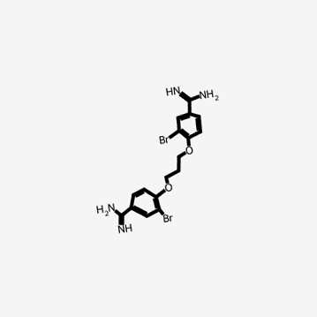 N=C(N)c1ccc(OCCCOc2ccc(C(=N)N)cc2Br)c(Br)c1